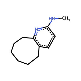 CNc1ccc2c(n1)CCCCCC2